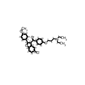 CCN(CC)CCCOc1ccc(C(=O)c2c(-c3ccc(OC)cc3)oc3ccc(Cl)cc23)cc1